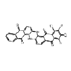 O=c1c2ccccc2c(=O)c2c1ccc1[nH]c3c(ccc4c(=O)c5c(Cl)c(Cl)c(Cl)c(Cl)c5c(=O)c43)[nH]c12